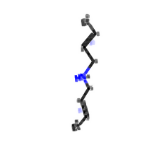 CC/C=C/CNC/C=C/CC